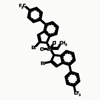 C[CH]=[Zr]([Cl])([Cl])([CH]1C(CC)=Cc2c(-c3ccc(C(F)(F)F)cc3)cccc21)[CH]1C(CC)=Cc2c(-c3ccc(C(F)(F)F)cc3)cccc21